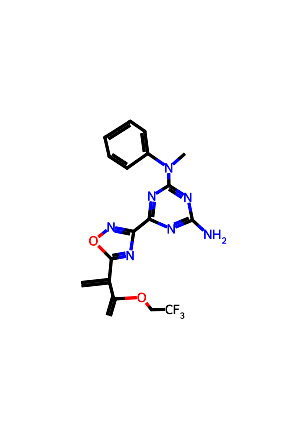 C=C(OCC(F)(F)F)C(=C)c1nc(-c2nc(N)nc(N(C)c3ccccc3)n2)no1